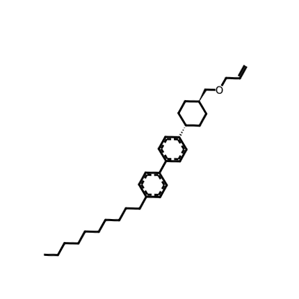 C=CCOC[C@H]1CC[C@H](c2ccc(-c3ccc(CCCCCCCCCC)cc3)cc2)CC1